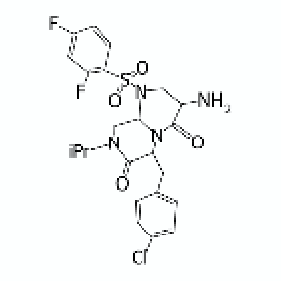 CC(C)N1CC2N(C(=O)C(N)CN2S(=O)(=O)c2ccc(F)cc2F)C(Cc2ccc(Cl)cc2)C1=O